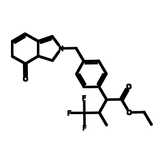 CCOC(=O)C(c1ccc(CN2C=C3C=CCC(=O)C3C2)cc1)C(C)C(F)(F)F